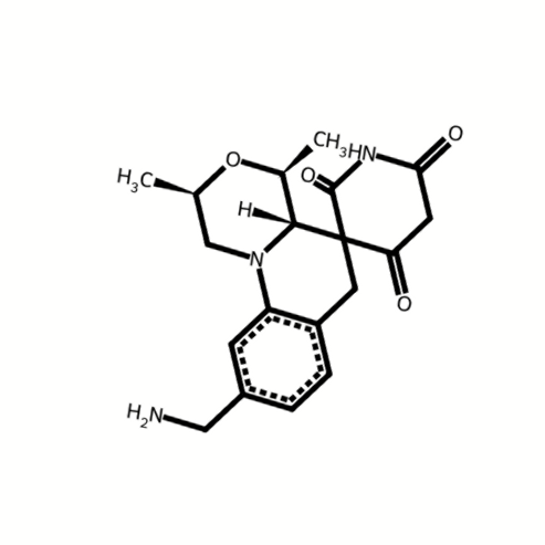 C[C@@H]1CN2c3cc(CN)ccc3CC3(C(=O)CC(=O)NC3=O)[C@H]2[C@H](C)O1